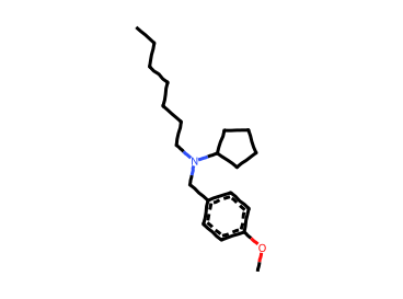 CCCCCCCN(Cc1ccc(OC)cc1)C1CCCC1